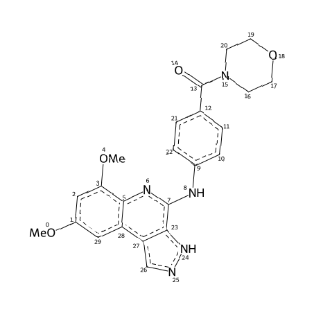 COc1cc(OC)c2nc(Nc3ccc(C(=O)N4CCOCC4)cc3)c3[nH]ncc3c2c1